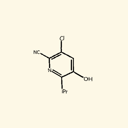 CC(C)c1nc(C#N)c(Cl)cc1O